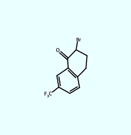 O=C1c2cc(C(F)(F)F)ccc2CCC1Br